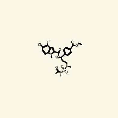 CCOC(=O)c1ccc(C(CCN(C)S(=O)(=O)NC(C)=O)NC(=O)c2cc3c(Cl)c(Cl)ccc3n2C)cc1